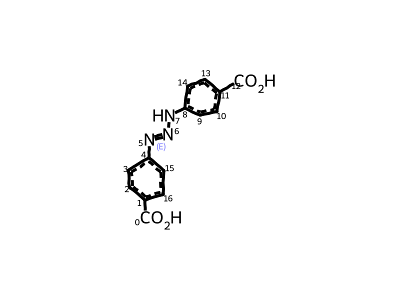 O=C(O)c1ccc(/N=N/Nc2ccc(C(=O)O)cc2)cc1